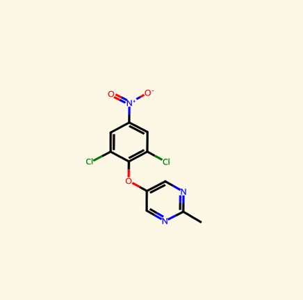 Cc1ncc(Oc2c(Cl)cc([N+](=O)[O-])cc2Cl)cn1